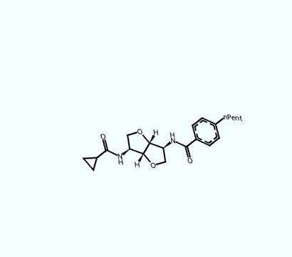 CCCCCc1ccc(C(=O)N[C@H]2CO[C@H]3[C@@H]2OC[C@@H]3NC(=O)C2CC2)cc1